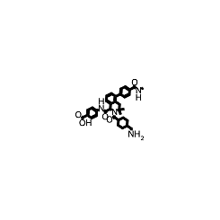 CNC(=O)c1ccc(-c2cccc3c2CC(C)(C)N(C(=O)C2CCC(CN)CC2)C3C(=O)Nc2ccc(C(=O)O)cc2)cc1